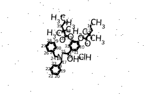 CCCC(C)(C)C(=O)Oc1ccc(C(O)CN(Cc2ccccc2)Cc2ccccc2)cc1OC(=O)C(C)(C)CCC.Cl